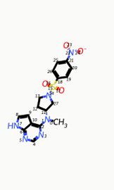 CN(c1ncnc2[nH]ccc12)[C@@H]1CCN(S(=O)(=O)c2ccc([N+](=O)[O-])cc2)C1